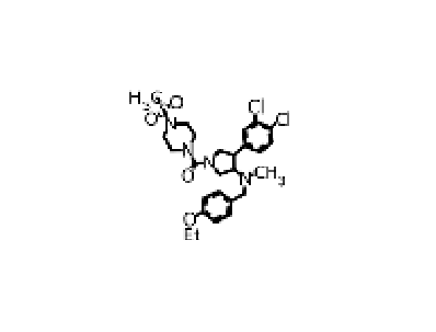 CCOc1ccc(CN(C)C2CN(C(=O)N3CCN(S(C)(=O)=O)CC3)CC2c2ccc(Cl)c(Cl)c2)cc1